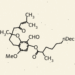 CCCCCCCCCCCCCCC(C)C(=O)Oc1cc(OC)c2c(c1C=O)OC(C)(CC(=O)C=C(C)C)CC2